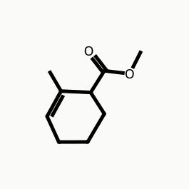 COC(=O)C1CCCC=C1C